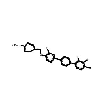 CCCCCC1C=CC(COc2ccc(-c3ccc(-c4ccc(C)c(F)c4F)cc3)cc2F)CC1